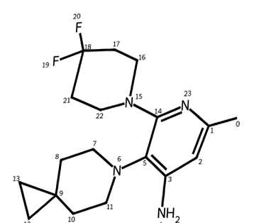 Cc1cc(N)c(N2CCC3(CC2)CC3)c(N2CCC(F)(F)CC2)n1